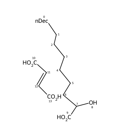 CCCCCCCCCCCCCCCCC(O)C(=O)O.O=C(O)C=CC(=O)O